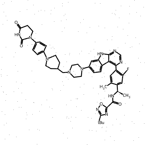 Cc1cc(-c2ncnc3[nH]c4cc(N5CCN(CC6CCN(c7ccc(N8CCC(=O)NC8=O)cc7)CC6)CC5)ccc4c23)c(F)cc1[C@@H](C)NC(=O)c1nc(C(C)(C)C)no1